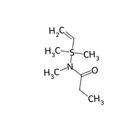 C=CS(C)(C)N(C)C(=O)CC